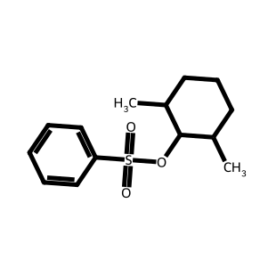 CC1CCCC(C)C1OS(=O)(=O)c1ccccc1